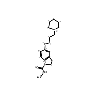 CCCNC(=O)N1CCc2cc(OCCCN3CCCCC3)ccc21